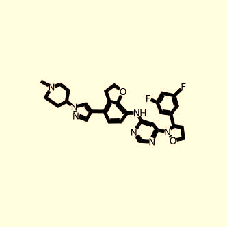 CN1CCC(n2cc(-c3ccc(Nc4cc(N5OCCC5c5cc(F)cc(F)c5)ncn4)c4c3CCO4)cn2)CC1